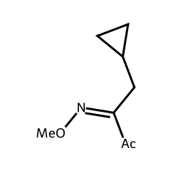 CON=C(CC1CC1)C(C)=O